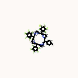 Cc1ccc(-c2c3nc(c(-c4c(F)c(F)c(F)c(F)c4F)c4ccc([nH]4)c(-c4c(F)c(F)c(F)c(F)c4F)c4nc(c(-c5c(F)c(F)c(F)c(F)c5F)c5ccc2[nH]5)C=C4)C=C3)cc1